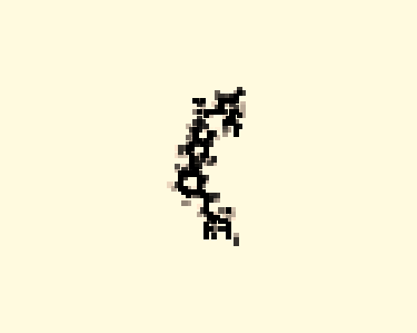 CCn1nc(C)cc1C(=O)N1CC2CN(c3cccc(CCC(N)=O)c3)CC2C1